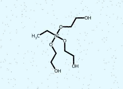 CC[N+](OCCO)(OCCO)OCCO